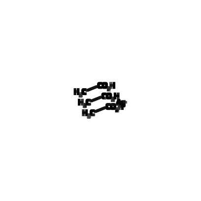 CC(=O)O.CC(=O)O.CC(=O)O.[Ag]